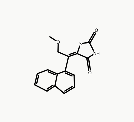 COCC(=C1SC(=O)NC1=O)c1cccc2ccccc12